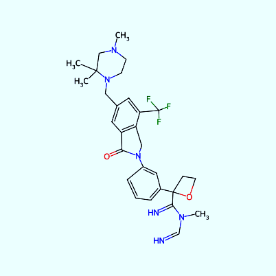 CN1CCN(Cc2cc3c(c(C(F)(F)F)c2)CN(c2cccc(C4(C(=N)N(C)C=N)CCO4)c2)C3=O)C(C)(C)C1